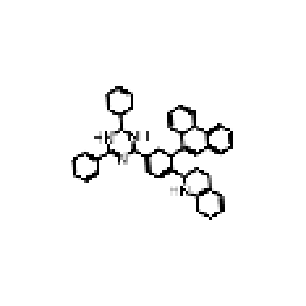 C1=CCC(C2NC(c3ccccc3)=NC(C3=CC=C(C4CCC5=C(CCC=C5)N4)C(C4=Cc5ccccc5C5C=CC=CC45)C3)N2)C=C1